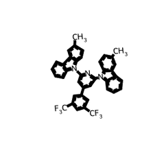 Cc1ccc2c(c1)c1ccccc1n2-c1cc(-c2cc(C(F)(F)F)cc(C(F)(F)F)c2)cc(-n2c3ccccc3c3cc(C)ccc32)n1